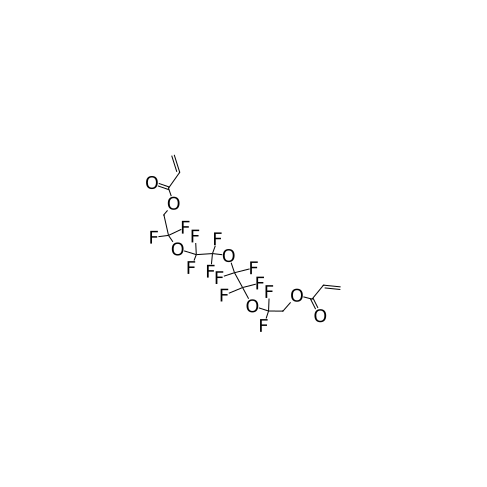 C=CC(=O)OCC(F)(F)OC(F)(F)C(F)(F)OC(F)(F)C(F)(F)OC(F)(F)COC(=O)C=C